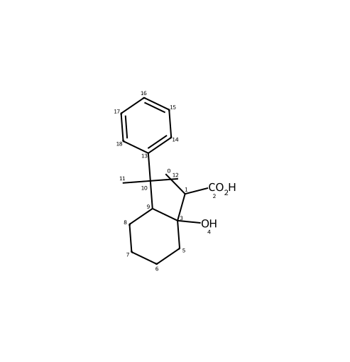 CC(C(=O)O)C1(O)CCCCC1C(C)(C)c1ccccc1